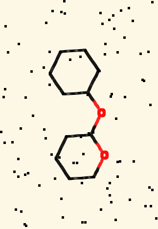 C1CC[C](OC2CCCCO2)CC1